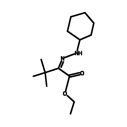 CCOC(=O)C(=NNC1CCCCC1)C(C)(C)C